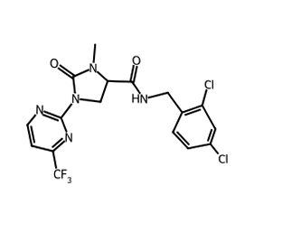 CN1C(=O)N(c2nccc(C(F)(F)F)n2)CC1C(=O)NCc1ccc(Cl)cc1Cl